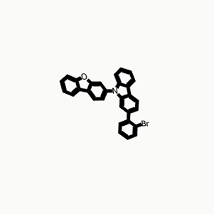 Brc1ccccc1-c1ccc2c3ccccc3n(-c3ccc4c(c3)oc3ccccc34)c2c1